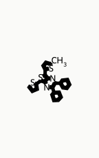 Cc1ccc(-c2sc(-c3cccs3)c3nc(-c4ccccc4)c(-c4ccccc4)nc23)s1